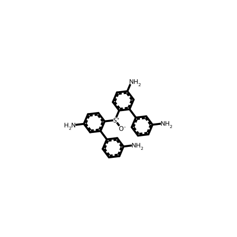 Nc1cccc(-c2cc(N)ccc2[S+]([O-])c2ccc(N)cc2-c2cccc(N)c2)c1